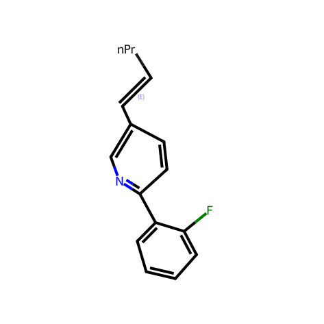 CCC/C=C/c1ccc(-c2ccccc2F)nc1